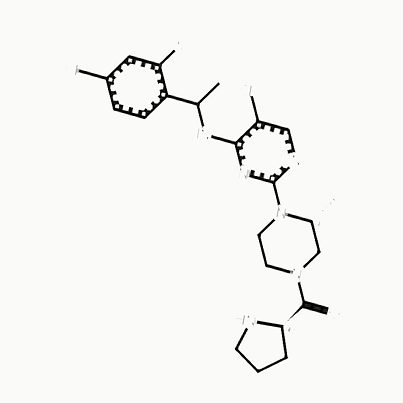 CC(Nc1nc(N2CCN(C(=O)[C@H]3CCCN3)C[C@H]2C)ncc1Cl)c1ccc(Cl)cc1Cl